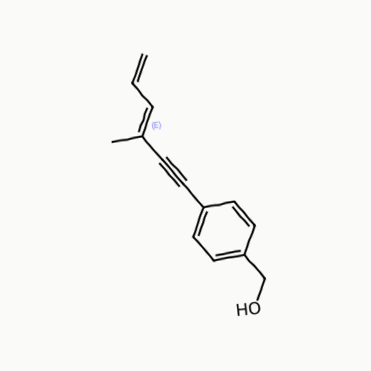 C=C/C=C(\C)C#Cc1ccc(CO)cc1